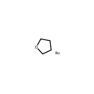 C1CCOC1.[Ru]